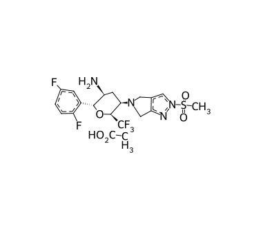 CC(=O)O.CS(=O)(=O)n1cc2c(n1)CN([C@@H]1C[C@H](N)[C@@H](c3cc(F)ccc3F)O[C@@H]1C(F)(F)F)C2